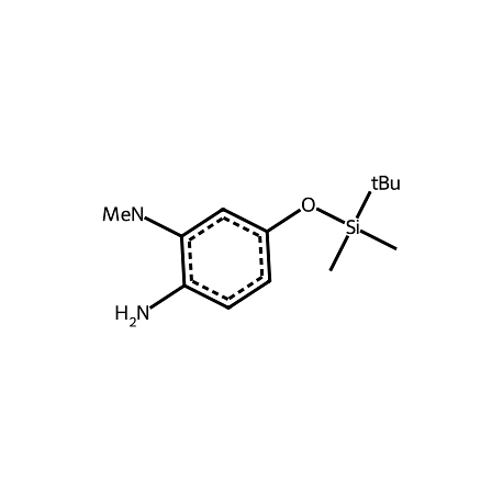 CNc1cc(O[Si](C)(C)C(C)(C)C)ccc1N